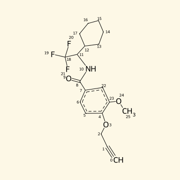 C#CCOc1ccc(C(=O)NC(C2CCCCC2)C(F)(F)F)cc1OC